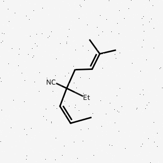 C/C=C\C(C#N)(CC)CC=C(C)C